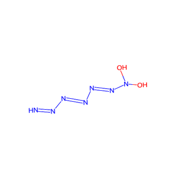 N=N/N=N/N=N/N(O)O